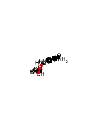 CS(=O)(=O)Nc1cc(OC[C@@H](O)CN[C@H]2CC[C@H](c3ccc(C(N)=O)cc3)CC2)ccc1O